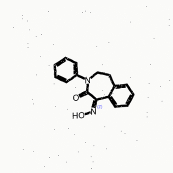 O=C1/C(=N\O)c2ccccc2CCN1c1ccccc1